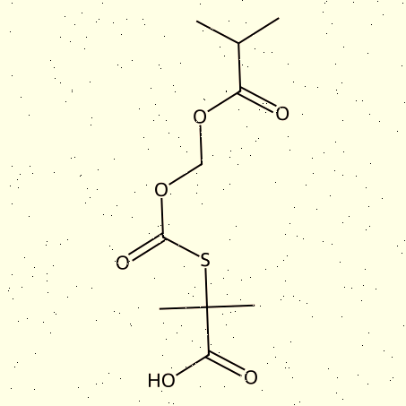 CC(C)C(=O)OCOC(=O)SC(C)(C)C(=O)O